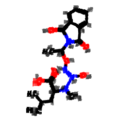 CC(C)C[C@@H](C(=O)O)N(C)[N+]([O-])=NOC(C)N1C(=O)c2ccccc2C1=O